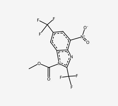 COC(=O)n1c(C(F)(F)F)nc2c([N+](=O)[O-])cc(C(F)(F)F)cc21